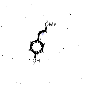 CO/C=C/c1ccc(O)cc1